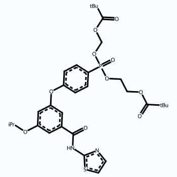 CC(C)Oc1cc(Oc2ccc(P(=O)(OCCOC(=O)C(C)(C)C)OCOC(=O)C(C)(C)C)cc2)cc(C(=O)Nc2nccs2)c1